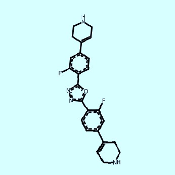 Fc1cc(C2=CCNCC2)ccc1-c1nnc(-c2ccc(C3=CCNCC3)cc2F)o1